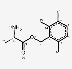 Cc1ccc(C)c(COC(=O)[C@H](C)N)c1C